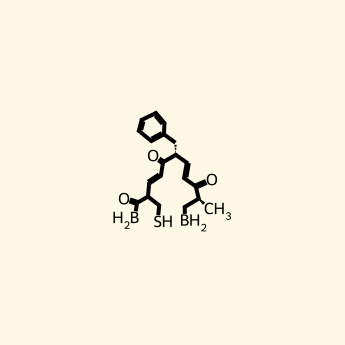 BC[C@H](C)C(=O)/C=C/[C@@H](Cc1ccccc1)C(=O)/C=C/C(CS)C(B)=O